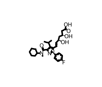 CC(C)c1c(C(=O)N(C)C2CCCCC2)nn(-c2ccc(F)cc2)c1C=C[C@H](O)C[C@@H](O)CC(=O)O